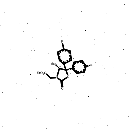 CCOC(=O)CN1C(=O)OC(c2ccc(F)cc2)(c2ccc(F)cc2)[C@@H]1C(C)(C)C